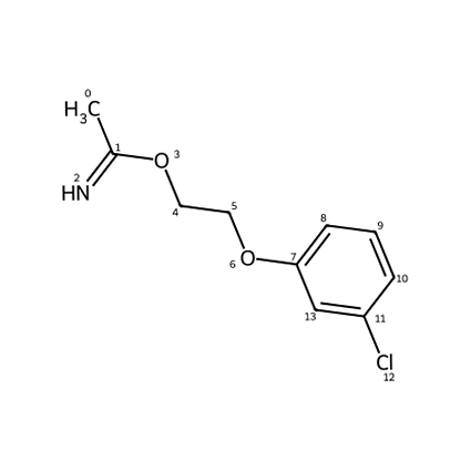 CC(=N)OCCOc1cccc(Cl)c1